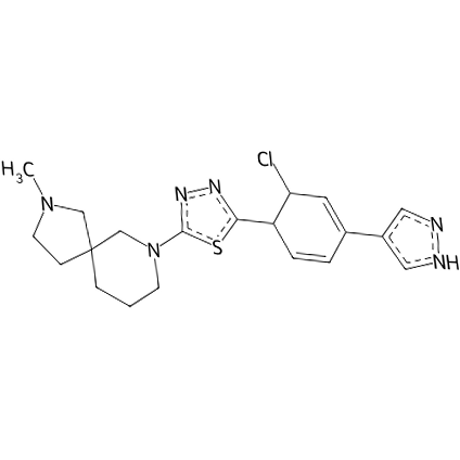 CN1CCC2(CCCN(c3nnc(C4C=CC(c5cn[nH]c5)=CC4Cl)s3)C2)C1